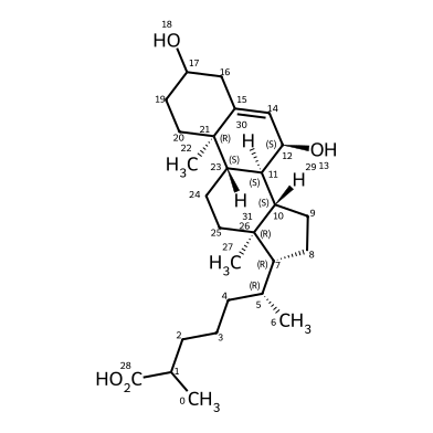 CC(CCC[C@@H](C)[C@H]1CC[C@H]2[C@@H]3[C@H](O)C=C4CC(O)CC[C@]4(C)[C@H]3CC[C@]12C)C(=O)O